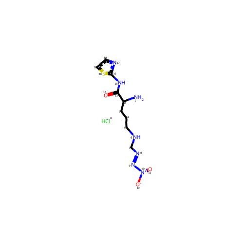 Cl.NC(CCCNCN=N[N+](=O)[O-])C(=O)Nc1nccs1